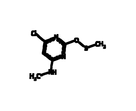 CNc1cc(Cl)nc(OSC)n1